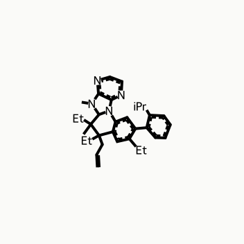 C=CCC1(CC)c2cc(CC)c(-c3ccccc3C(C)C)cc2N2c3nccnc3N(C)C2C1(C)CC